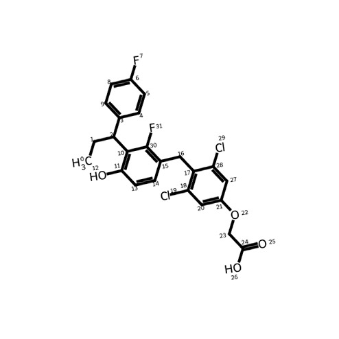 CCC(c1ccc(F)cc1)c1c(O)ccc(Cc2c(Cl)cc(OCC(=O)O)cc2Cl)c1F